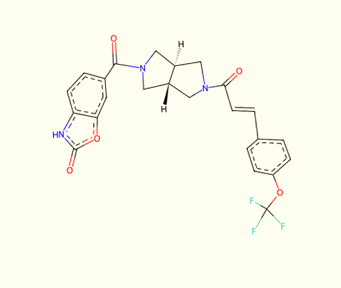 O=C(/C=C/c1ccc(OC(F)(F)F)cc1)N1C[C@@H]2CN(C(=O)c3ccc4[nH]c(=O)oc4c3)C[C@H]2C1